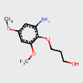 COc1cc(N)c(OCCCO)c(OC)c1